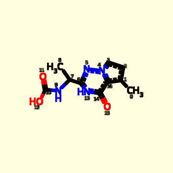 Cc1ccn2nc(C(C)NC(=O)O)[nH]c(=O)c12